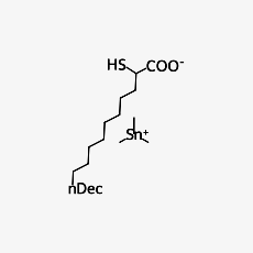 CCCCCCCCCCCCCCCCCCC(S)C(=O)[O-].[CH3][Sn+]([CH3])[CH3]